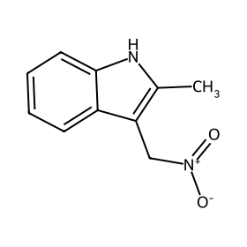 Cc1[nH]c2ccccc2c1C[N+](=O)[O-]